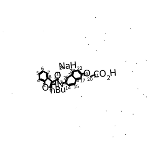 CCCCc1oc2ccccc2c1C(=O)Nc1ccc2cc(OCC(=O)O)ccc2c1.[NaH]